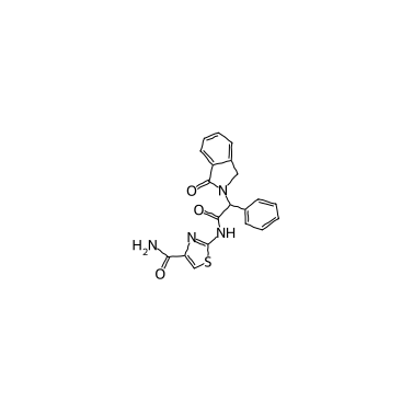 NC(=O)c1csc(NC(=O)C(c2ccccc2)N2Cc3ccccc3C2=O)n1